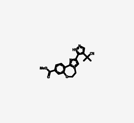 COC(=O)c1ccc2c(c1)OCCn1cc(-c3[nH]ncc3C(C)(C)C#N)nc1-2